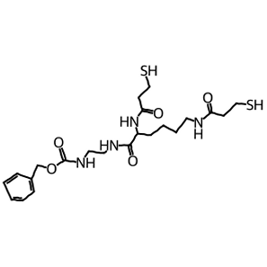 O=C(CCS)NCCCCC(NC(=O)CCS)C(=O)NCCNC(=O)OCc1ccccc1